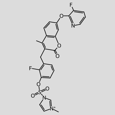 Cc1c(Cc2cccc(OS(=O)(=O)n3cc[n+](C)c3)c2F)c(=O)oc2cc(Oc3ncccc3F)ccc12